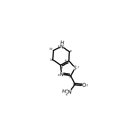 NC(=O)c1nc2c(s1)CNCC2